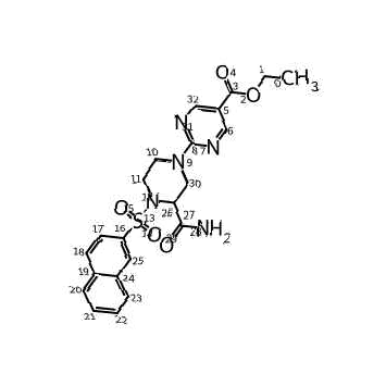 CCOC(=O)c1cnc(N2CCN(S(=O)(=O)c3ccc4ccccc4c3)C(C(N)=O)C2)nc1